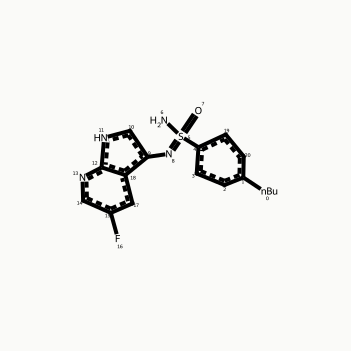 CCCCc1ccc(S(N)(=O)=Nc2c[nH]c3ncc(F)cc23)cc1